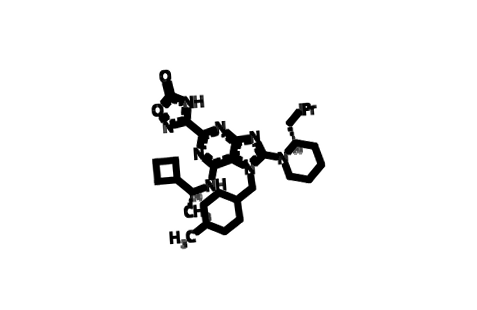 CC(C)C[C@@H]1CCCCN1c1nc2nc(-c3noc(=O)[nH]3)nc(N[C@H](C)C3CCC3)c2n1CC1CCC(C)CC1